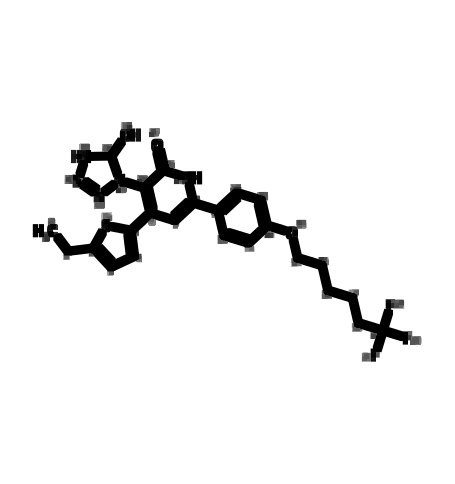 CCc1ccc(-c2cc(-c3ccc(OCCCCCC(F)(F)F)cc3)[nH]c(=O)c2N2N=NNC2O)s1